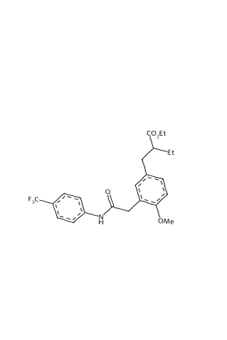 CCOC(=O)C(CC)Cc1ccc(OC)c(CC(=O)Nc2ccc(C(F)(F)F)cc2)c1